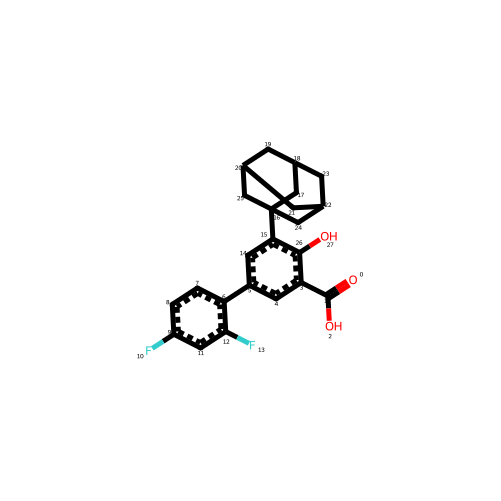 O=C(O)c1cc(-c2ccc(F)cc2F)cc(C23CC4CC(CC(C4)C2)C3)c1O